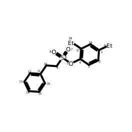 CCc1ccc(OS(=O)(=O)CCc2ccccc2)c(CC)c1